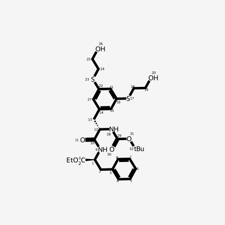 CCOC(=O)[C@H](Cc1ccccc1)NC(=O)[C@H](Cc1cc(SCCO)cc(SCCO)c1)NC(=O)OC(C)(C)C